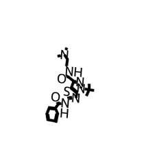 CN(C)CCNC(=O)c1nn(C(C)(C)C)c2nc(NC(=O)c3ccccc3)sc12